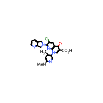 CNc1cc(C)c(-n2cc(C(=O)O)c(=O)c3cc(Cl)c(N4Cc5cccnc5C4)nc32)cn1